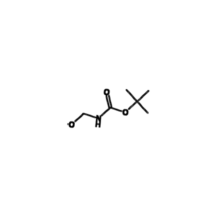 CC(C)(C)OC(=O)NC[O]